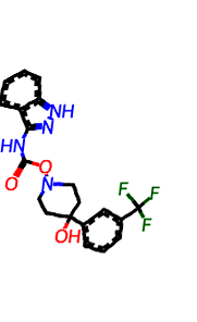 O=C(Nc1n[nH]c2ccccc12)ON1CCC(O)(c2cccc(C(F)(F)F)c2)CC1